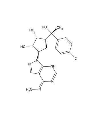 C[C@@](O)(c1ccc(Cl)cc1)[C@H]1C[C@@H](n2ncc3/c(=N\N)nc[nH]c32)[C@H](O)[C@@H]1O